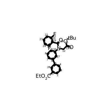 CCOC(=O)c1cccc(-c2cccc(N(CC(=O)OC(C)(C)C)C(=O)c3c(F)cccc3F)c2)c1